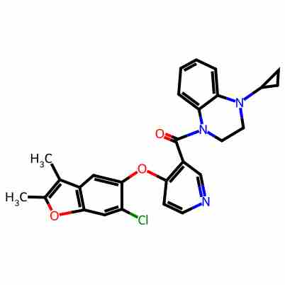 Cc1oc2cc(Cl)c(Oc3ccncc3C(=O)N3CCN(C4CC4)c4ccccc43)cc2c1C